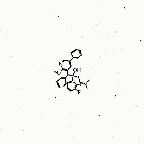 COc1ncc(-c2ccccc2)cc1C(c1ccccc1)C(O)(CCN(C)C)c1cccc(F)c1F